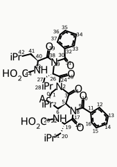 CC(=O)CN(C(=O)[C@H](CC(C)C)N(C(=O)c1ccccc1)C(=O)[C@H](CC(C)C)NC(=O)O)C(=O)[C@H](CC(C)C)N(C(=O)c1ccccc1)C(=O)[C@H](CC(C)C)NC(=O)O